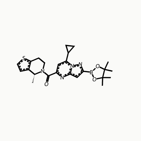 C[C@@H]1c2ccsc2CCN1C(=O)c1cc(C2CC2)n2nc(B3OC(C)(C)C(C)(C)O3)cc2n1